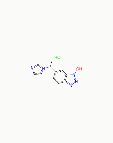 CC(c1ccc2nnn(O)c2c1)n1ccnc1.Cl